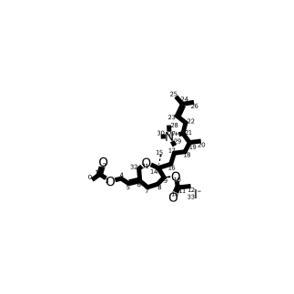 CC(=O)OCC=C1CC[C@@H](OC(C)=O)[C@](C)(CCCC(C)C(CC=C(C)C)[N+](C)(C)C)OC1.[I-]